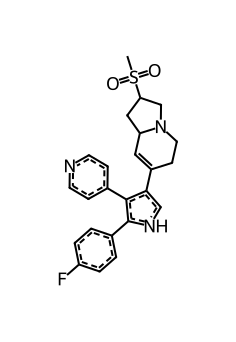 CS(=O)(=O)C1CC2C=C(c3c[nH]c(-c4ccc(F)cc4)c3-c3ccncc3)CCN2C1